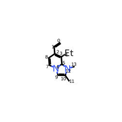 C=CC1=C(CC)C2N(C=C1)C=C(C)N2C